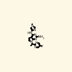 CC(c1ncc(F)cn1)n1ccc2c(Nc3cn(C)cn3)nc(N)nc21